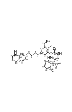 CO[C@H](CF)CN(CCCCc1ccc2c(n1)NCCC2)CC[C@H](NC(=O)C1(c2ncccc2Cl)CC1)C(=O)O